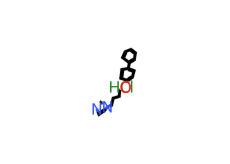 Cl.c1ccc(-c2ccc(OCCCCn3ccnc3)cc2)cc1